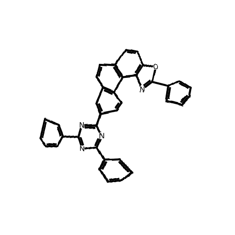 c1ccc(-c2nc(-c3ccccc3)nc(-c3ccc4c(ccc5ccc6oc(-c7ccccc7)nc6c54)c3)n2)cc1